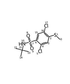 CSc1cc(Cl)c(S(=O)(=O)NC(C)(C)C)cc1Cl